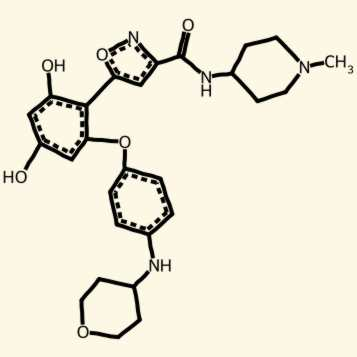 CN1CCC(NC(=O)c2cc(-c3c(O)cc(O)cc3Oc3ccc(NC4CCOCC4)cc3)on2)CC1